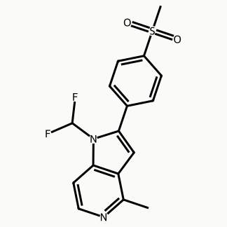 Cc1nccc2c1cc(-c1ccc(S(C)(=O)=O)cc1)n2C(F)F